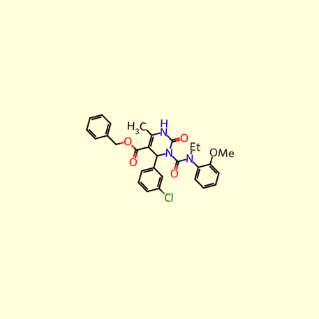 CCN(C(=O)N1C(=O)NC(C)=C(C(=O)OCc2ccccc2)C1c1cccc(Cl)c1)c1ccccc1OC